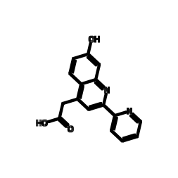 O=C(O)Cc1cc(-c2ccccn2)nc2cc(O)ccc12